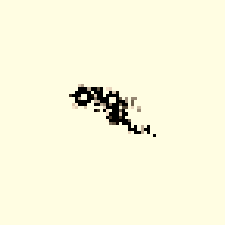 NCCNS(=O)(=O)c1cc(S(=O)(=O)c2ccccc2)ccc1C(F)(F)F